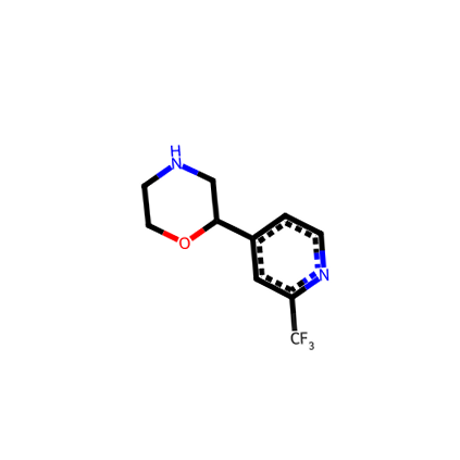 FC(F)(F)c1cc(C2CNCCO2)ccn1